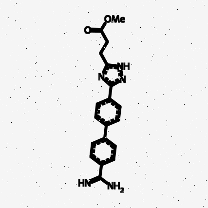 COC(=O)CCc1nc(-c2ccc(-c3ccc(C(=N)N)cc3)cc2)n[nH]1